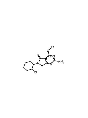 CCOc1nc(N)nc2c1C(=O)N(C1CCCCC1O)C2